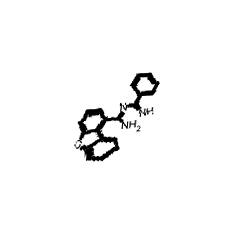 N=C(/N=C(\N)c1cccc2oc3ccccc3c12)c1ccccc1